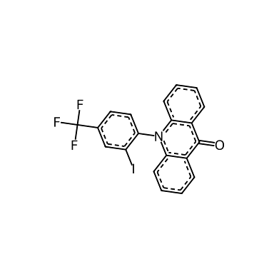 O=c1c2ccccc2n(-c2ccc(C(F)(F)F)cc2I)c2ccccc12